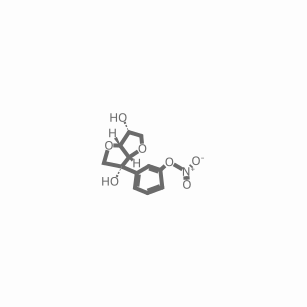 O=[N+]([O-])Oc1cccc([C@@]2(O)CO[C@@H]3[C@H](O)CO[C@@H]32)c1